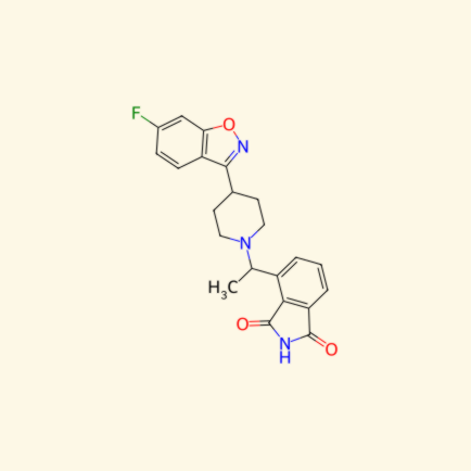 CC(c1cccc2c1C(=O)NC2=O)N1CCC(c2noc3cc(F)ccc23)CC1